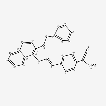 COC(=O)c1ccc(C=CCc2c(OCc3ccccc3)ccc3ccccc23)cc1